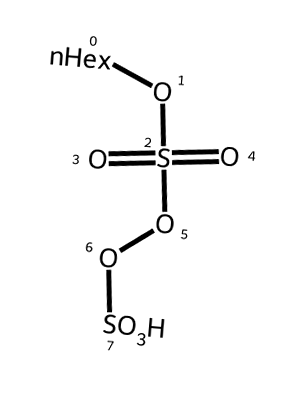 CCCCCCOS(=O)(=O)OOS(=O)(=O)O